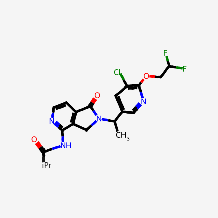 CC(C)C(=O)Nc1nccc2c1CN(C(C)c1cnc(OCC(F)F)c(Cl)c1)C2=O